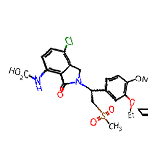 C1CC1.CCOc1cc([C@@H](CS(C)(=O)=O)N2Cc3c(Cl)ccc(NC(=O)O)c3C2=O)ccc1OC